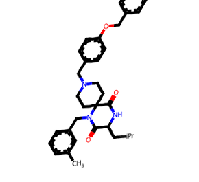 Cc1cccc(CN2C(=O)C(CC(C)C)NC(=O)C23CCN(Cc2ccc(OCc4ccccc4)cc2)CC3)c1